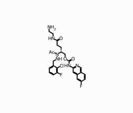 CC(=O)N(NCc1cccc(F)c1Cl)[C@@H](CCC(=O)NCCN)COC(=O)Nc1cc2cc(F)ccc2cn1